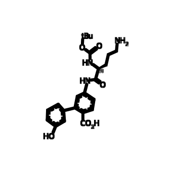 CC(C)(C)OC(=O)N[C@@H](CCCN)C(=O)Nc1ccc(C(=O)O)c(-c2cccc(O)c2)c1